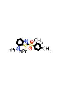 CCCN(CCC)c1cccc2nc(S(=O)(=O)c3ccc(C)cc3C)sc12